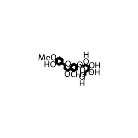 COc1ccc(C2CC(=O)c3c(C)cc(O[C@@H]4OC(CO)[C@@H](O)[C@@H](O)C4O)cc3O2)cc1O